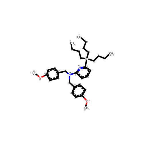 CCC[CH2][Sn]([CH2]CCC)([CH2]CCC)[c]1cccc(N(Cc2ccc(OC)cc2)Cc2ccc(OC)cc2)n1